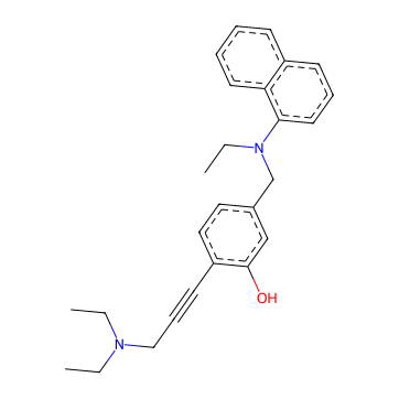 CCN(CC)CC#Cc1ccc(CN(CC)c2cccc3ccccc23)cc1O